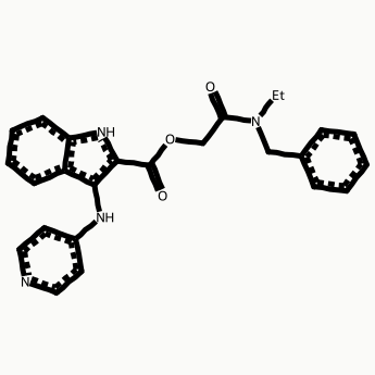 CCN(Cc1ccccc1)C(=O)COC(=O)c1[nH]c2ccccc2c1Nc1ccncc1